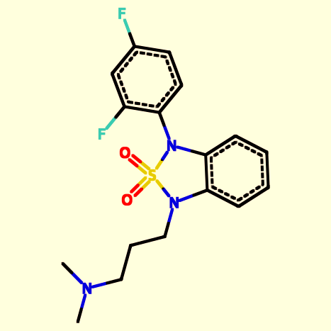 CN(C)CCCN1c2ccccc2N(c2ccc(F)cc2F)S1(=O)=O